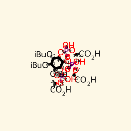 CC(C)COC1C(OCC(C)C)C(OP(=O)(O)OCC(=O)O)C(OP(=O)(O)OCC(=O)O)C(OP(=O)(O)OCC(=O)O)C1OCC(C)C